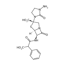 NN1CCN([C@]2(C(=O)O)CN3C(=O)[C@@H](NC(=O)C(C(=O)O)c4ccccc4)[C@H]3S2)C1=O